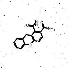 NC(=O)c1ccc2c(c1C(N)=O)Cc1ccccc1O2